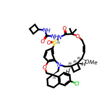 CO[C@H]1C=CCOC(C)(C)C(=O)N=[S@@](=O)(NC(=O)NC2CCC2)c2ccc3c(c2)N(C[C@@H]2CC[C@H]21)C[C@@]1(CCCc2cc(Cl)ccc21)CO3